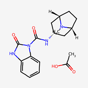 CC(=O)O.CN1[C@@H]2CC[C@H]1C[C@@H](NC(=O)n1c(=O)[nH]c3ccccc31)C2